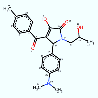 Cc1ccc(C(=O)C2=C(O)C(=O)N(CC(C)O)C2c2ccc(N(C)C)cc2)cc1